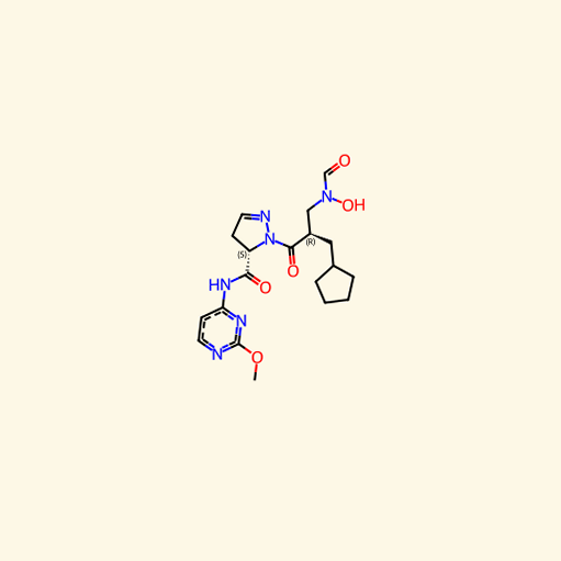 COc1nccc(NC(=O)[C@@H]2CC=NN2C(=O)[C@H](CC2CCCC2)CN(O)C=O)n1